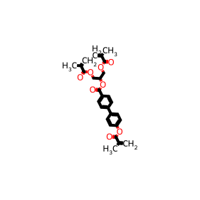 C=C(C)C(=O)OCC(COC(=O)C(=C)C)OC(=O)c1ccc(-c2ccc(OC(=O)C(=C)C)cc2)cc1